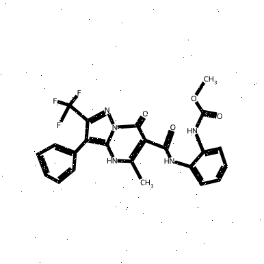 COC(=O)Nc1ccccc1NC(=O)c1c(C)[nH]c2c(-c3ccccc3)c(C(F)(F)F)nn2c1=O